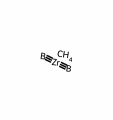 C.[B]#[Zr]#[B]